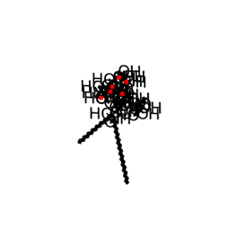 CCCCCCCCCCCCC/C=C/[C@@H](O)[C@H](CO[C@@H]1OC(CO)[C@@H](O[C@@H]2OC(CO[C@@H]3OC(CO)[C@@H](O)[C@H](O)C3NC(C)=O)[C@H](O)[C@H](O[C@@H]3OC(CO)[C@@H](O[C@H]4OC(C)[C@@H](O)C(O)[C@@H]4O)[C@H](O[C@@H]4OC(CO)[C@H](O)[C@H](O[C@]5(C(=O)O)CC(O)[C@@H](NC(C)=O)C([C@H](O)[C@H](O)CO)O5)C4O)C3NC(C)=O)C2O)[C@H](O)C1O)NC(=O)CCCCCCCCCCCCCCCCCCCCCCC